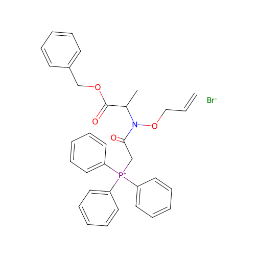 C=CCON(C(=O)C[P+](c1ccccc1)(c1ccccc1)c1ccccc1)C(C)C(=O)OCc1ccccc1.[Br-]